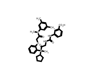 Cc1cc(C)cc(N(C)C(=O)COc2ccccc2[N+](C)(C(=O)CNC(=O)Nc2cccc(C(=O)O)c2)C2CCCC2)c1